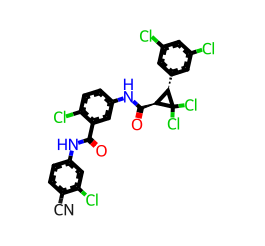 N#Cc1ccc(NC(=O)c2cc(NC(=O)[C@H]3[C@H](c4cc(Cl)cc(Cl)c4)C3(Cl)Cl)ccc2Cl)cc1Cl